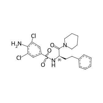 Nc1c(Cl)cc(S(=O)(=O)N[C@H](CCc2ccccc2)C(=O)N2CCCCC2)cc1Cl